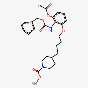 CCC(=O)Oc1cccc(OCCCCC2CCN(C(=O)OC(C)(C)C)CC2)c1NC(=O)OCc1ccccc1